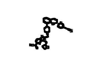 N#Cc1ccc([C@H]2C=Cc3cccc(C4CCN(Cc5nc6ccc(C(=O)O)nc6n5C[C@@H]5CCO5)CC4)c3O2)nc1